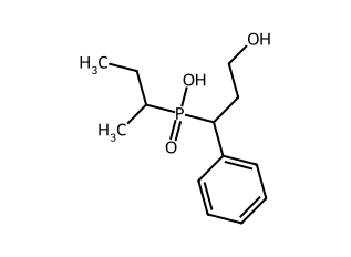 CCC(C)P(=O)(O)C(CCO)c1ccccc1